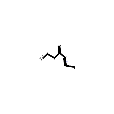 C=C(/C=C/C)CCN